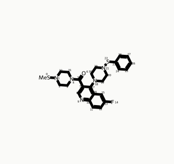 CSN1CCN(C(=O)c2cnc3ccc(F)cc3c2N2CCN(Sc3ccccc3)CC2)CC1